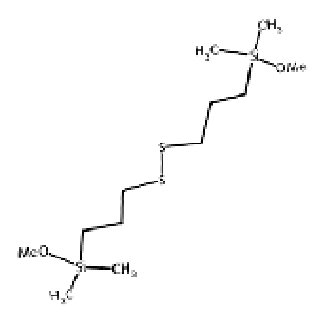 CO[Si](C)(C)CCCSSCCC[Si](C)(C)OC